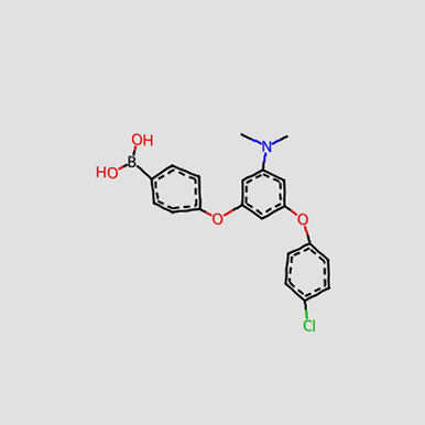 CN(C)c1cc(Oc2ccc(Cl)cc2)cc(Oc2ccc(B(O)O)cc2)c1